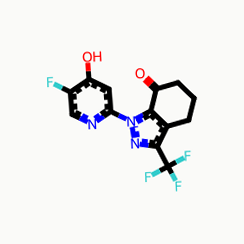 O=C1CCCc2c(C(F)(F)F)nn(-c3cc(O)c(F)cn3)c21